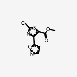 COC(=O)c1sc(Cl)nc1-c1ccno1